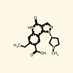 CCc1cc2[nH]c(=O)c3cnn([C@H]4CCN(C)C4)c3c2cc1C(=O)O